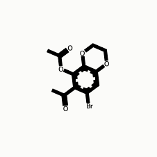 CC(=O)Oc1c2c(cc(Br)c1C(C)=O)OCCO2